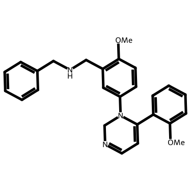 COc1ccc(N2CN=CC=C2c2ccccc2OC)cc1CNCc1ccccc1